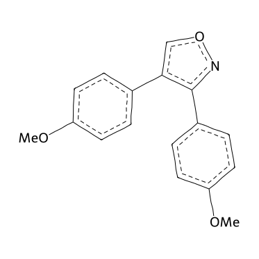 COc1ccc(-c2conc2-c2ccc(OC)cc2)cc1